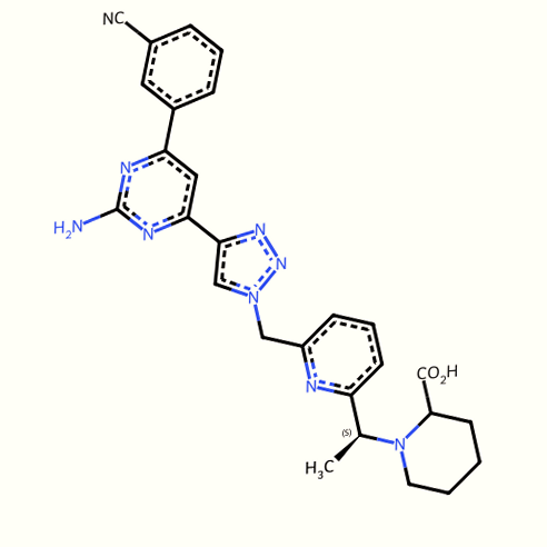 C[C@@H](c1cccc(Cn2cc(-c3cc(-c4cccc(C#N)c4)nc(N)n3)nn2)n1)N1CCCCC1C(=O)O